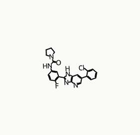 O=C(Nc1ccc(F)c(-c2nc3ncc(-c4ccccc4Cl)cc3[nH]2)c1)N1CCCC1